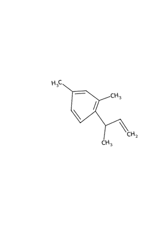 C=CC(C)c1ccc(C)cc1C